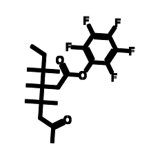 CCC(C)(C)C(C)(CC(=O)Oc1c(F)c(F)c(F)c(F)c1F)C(C)(C)CC(C)=O